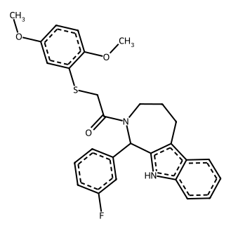 COc1ccc(OC)c(SCC(=O)N2CCCc3c([nH]c4ccccc34)C2c2cccc(F)c2)c1